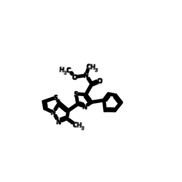 CON(C)C(=O)c1sc(-c2c(C)nn3ccsc23)nc1-c1ccccc1